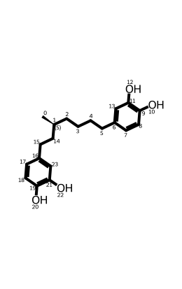 C[C@@H](CCCCc1ccc(O)c(O)c1)CCc1ccc(O)c(O)c1